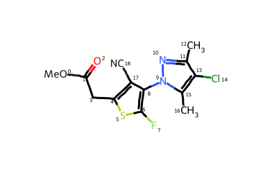 COC(=O)Cc1sc(F)c(-n2nc(C)c(Cl)c2C)c1C#N